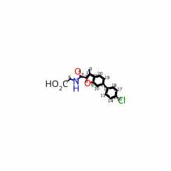 Cc1c(C(=O)NCC(=O)O)oc2cc(-c3ccc(Cl)cc3)ccc12